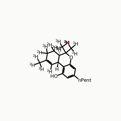 [2H]C1=C(C([2H])([2H])[2H])C([2H])([2H])C([2H])([2H])[C@]2([2H])[C@@H]1c1c(O)cc(CCCCC)cc1OC2(C([2H])([2H])[2H])C([2H])([2H])[2H]